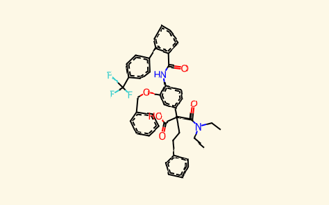 CCN(CC)C(=O)C(CCc1ccccc1)(C(=O)O)c1ccc(NC(=O)c2ccccc2-c2ccc(C(F)(F)F)cc2)c(OCc2ccccc2)c1